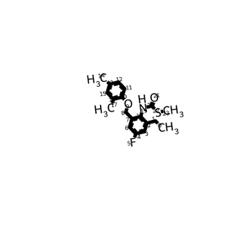 CCc1cc(F)cc(COc2ccc(C)cc2C)c1NC(=O)SC